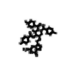 Cc1ccc(C(=O)OC[C@@H](OCc2nnc3c(=O)[nH]c(N)nn23)[C@@H](OC(=O)c2ccc(C)cc2)C(C)OC(=O)c2ccc(C)cc2)cc1